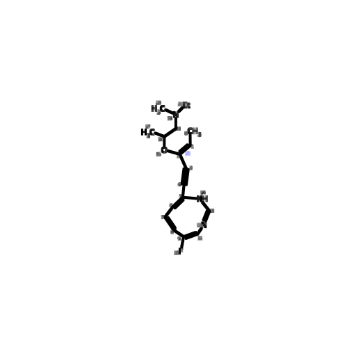 C/C=C(/C#Cc1cccc(F)cnc[nH]1)OC(C)CN(C)CC